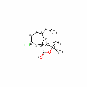 CC(C)(C)OC=O.CCC1CCCCCC1.Cl